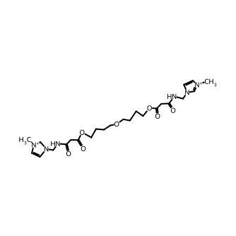 C[n+]1ccn(CNC(=O)CC(=O)OCCCCOCCCCOC(=O)CC(=O)NCn2cc[n+](C)c2)c1